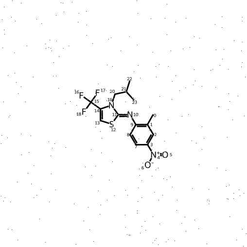 Cc1cc([N+](=O)[O-])ccc1N=c1scc(C(F)(F)F)n1CC(C)C